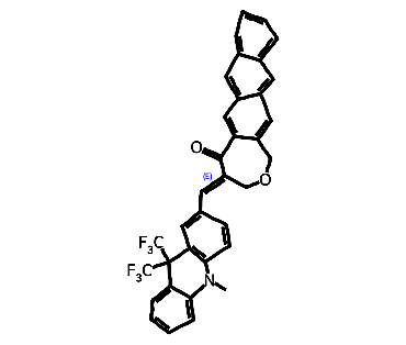 CN1c2ccccc2C(C(F)(F)F)(C(F)(F)F)c2cc(/C=C3\COCc4cc5cc6ccccc6cc5cc4C3=O)ccc21